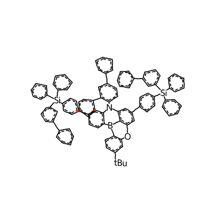 CC(C)(C)c1ccc2c(c1)Oc1cc(-c3ccc([Si](c4ccccc4)(c4ccccc4)c4cccc(-c5ccccc5)c4)cc3)cc3c1B2c1ccc(-c2ccc([Si](c4ccccc4)(c4ccccc4)c4cccc(-c5ccccc5)c4)cc2)cc1N3c1ccc(-c2ccccc2)cc1-c1ccccc1